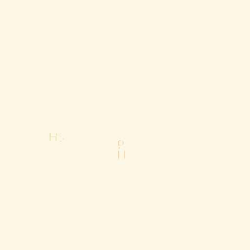 SCPC1CCCCC1